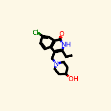 CCc1[nH]c(=O)c2cc(Cl)ccc2c1CN1CCC(O)CC1